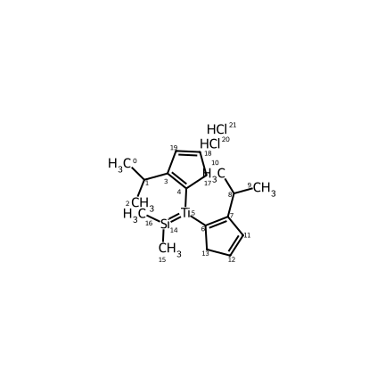 CC(C)C1=[C]([Ti]([C]2=C(C(C)C)C=CC2)=[Si](C)C)CC=C1.Cl.Cl